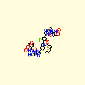 CCC(C)Cc1ccc(C2Oc3cc(-c4cnc([C@@H]5CCCN5C(=O)[C@@H](NC(=O)OC)C(C)C)[nH]4)cc(F)c3-c3cc4cc(-c5cnc([C@H]6CCCN6C(=O)C(NC(=O)OC)C6C[C@@H](C)O[C@@H](C)C6)[nH]5)ccc4n32)s1